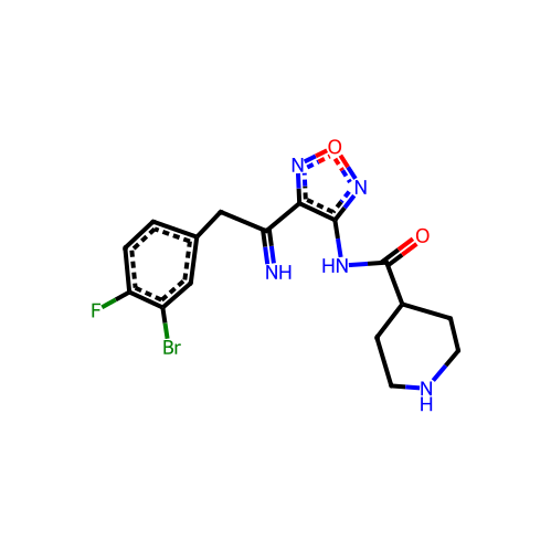 N=C(Cc1ccc(F)c(Br)c1)c1nonc1NC(=O)C1CCNCC1